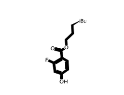 CC[C@H](C)CCCOC(=O)c1ccc(O)cc1F